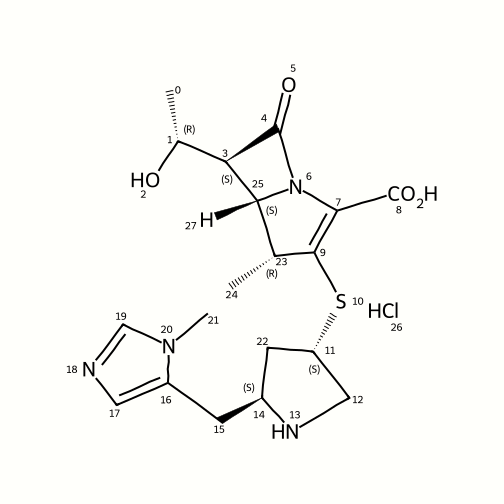 C[C@@H](O)[C@H]1C(=O)N2C(C(=O)O)=C(S[C@@H]3CN[C@@H](Cc4cncn4C)C3)[C@H](C)[C@H]12.Cl